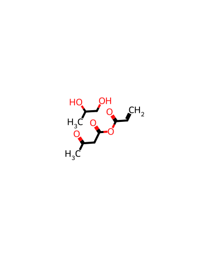 C=CC(=O)OC(=O)CC(C)=O.CC(O)CO